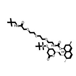 C[C@H]1C=C2C=C[C@H](C)[C@H](CC[C@H]3C[C@H](O[Si](C)(C)C(C)(C)C)CC(=O)O3)[C@H]2[C@@H](OC(=O)NCCOCCOCCOCC(=O)NCC(C)(C)C)C1